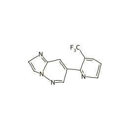 FC(F)(F)c1cccnc1-c1cnn2ccnc2c1